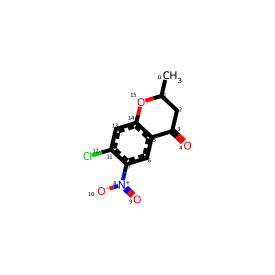 CC1CC(=O)c2cc([N+](=O)[O-])c(Cl)cc2O1